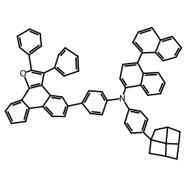 c1ccc(-c2oc3c4ccccc4c4ccc(-c5ccc(N(c6ccc(C78CC9CC%10CC(C7)C%1098)cc6)c6ccc(-c7cccc8ccccc78)c7ccccc67)cc5)cc4c3c2-c2ccccc2)cc1